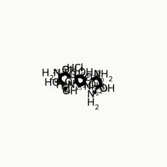 Cl.NC[C@H]1O[C@H](O[C@H]2[C@H](O)[C@@H](O[C@H]3O[C@H](CO)[C@@H](O)[C@H](N)[C@H]3O)[C@H](N)C[C@@H]2N)[C@H](N)C[C@@H]1O